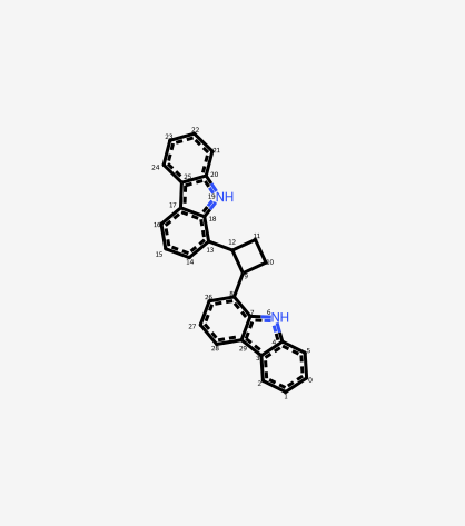 c1ccc2c(c1)[nH]c1c(C3CCC3c3cccc4c3[nH]c3ccccc34)cccc12